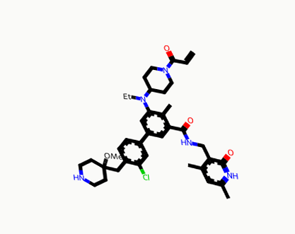 C=CC(=O)N1CCC(N(CC)c2cc(-c3ccc(CC4(OC)CCNCC4)c(Cl)c3)cc(C(=O)NCc3c(C)cc(C)[nH]c3=O)c2C)CC1